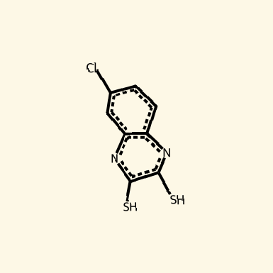 Sc1nc2ccc(Cl)cc2nc1S